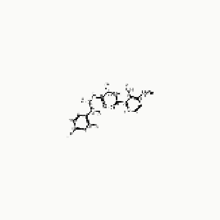 COc1ccnc(C(=O)N[C@@H](C)C(=O)O[C@@H](C)[C@@H](C)c2ccc(F)cc2C)c1O